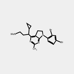 CNCCC(c1nc(C)nc2c1CCN2c1ccc(C(C)C)cc1Br)C1CC1